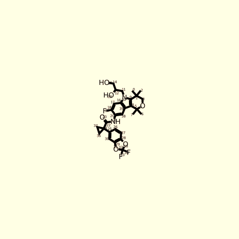 CC1(C)COC(C)(C)c2c1n(CC(O)CO)c1cc(F)c(NC(=O)C3(c4ccc5c(c4)OC(F)(F)O5)CC3)cc21